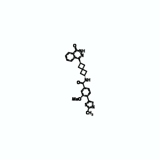 COc1cc(C(=O)N[C@H]2CC3(C2)C[C@H](c2n[nH]c(=O)c4ccccc42)C3)ccc1-c1cnc(C)s1